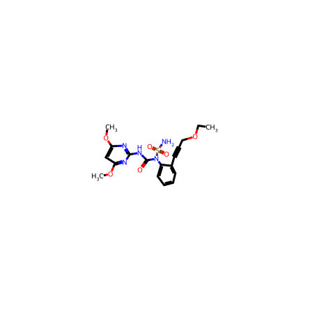 CCOCC#Cc1ccccc1N(C(=O)Nc1nc(OC)cc(OC)n1)S(N)(=O)=O